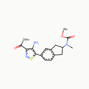 COC(=O)c1nsc(-c2ccc3c(c2)CC(N(C)C(=O)OC(C)(C)C)C3)c1N